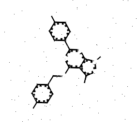 CCc1nn(C)c2nc(-c3ccc(O)cc3)nc(NCc3ccc(F)cc3)c12